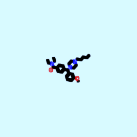 CCCCCN1CCN(C(c2ccc(C(=O)N(CC)CC)cc2)c2cccc(OC)c2)CC1